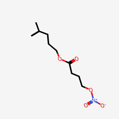 CC(C)CCCOC(=O)CCCO[N+](=O)[O-]